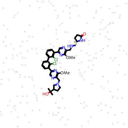 COc1nc(-c2cccc(-c3cccc(-c4cnc(CN5CCC(C(C)(C)O)C5)c(OC)n4)c3Cl)c2Cl)cnc1CNC[C@@H]1CCC(=O)N1